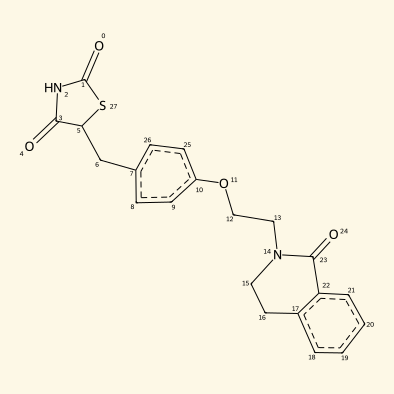 O=C1NC(=O)C(Cc2ccc(OCCN3CCc4ccccc4C3=O)cc2)S1